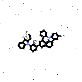 C/C=C\c1c(C)c2ccccc2n1-c1cccc(-c2ccc(C#N)c(-c3ccccc3-n3c4ccccc4c4cc(C#N)ccc43)c2)c1C#N